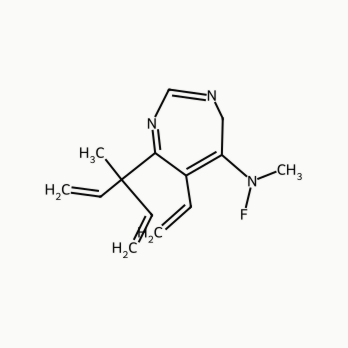 C=CC1=C(N(C)F)CN=CN=C1C(C)(C=C)C=C